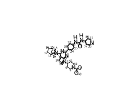 COC(=O)N1CCC(n2ncc3c(N4CC5CCC(C4)O5)nc(-c4ccc(NC(=O)Nc5ccncc5)cc4)nc32)CC1